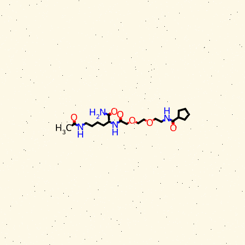 CC(=O)NCCCCC(NC(=O)COCCOCCNC(=O)C1CCCC1)C(N)=O